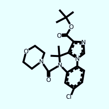 CC(C)(C)OC(=O)c1ncn2c1C(C)(C)N(C(=O)N1CCOCC1)c1cc(Cl)ccc1-2